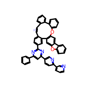 C1=C\c2ccc(-c3nc(-c4ccccc4)cc(-c4ccc(-c5cccnc5)nc4)n3)cc2-c2cc3oc4ccccc4c3cc2Oc2ccccc2-c2ccccc2/1